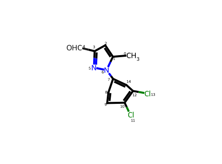 Cc1cc(C=O)nn1-c1ccc(Cl)c(Cl)c1